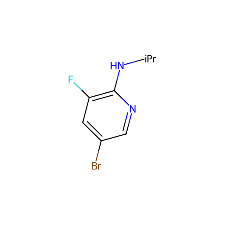 CC(C)Nc1ncc(Br)cc1F